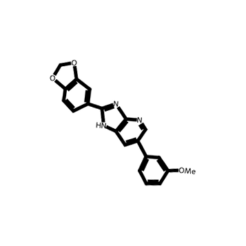 COc1cccc(-c2cnc3nc(-c4ccc5c(c4)OCO5)[nH]c3c2)c1